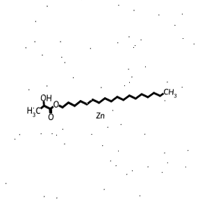 CCCCCCCCCCCCCCCCCCOC(=O)C(C)O.[Zn]